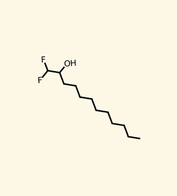 CCCCCCCCCCC(O)C(F)F